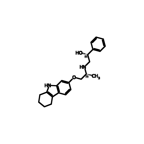 C[C@H](COc1ccc2c3c([nH]c2c1)CCCC3)NC[C@H](O)c1ccccc1